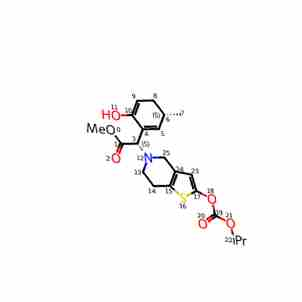 COC(=O)[C@H](C1=C[C@@H](C)CC=C1O)N1CCc2sc(OC(=O)OC(C)C)cc2C1